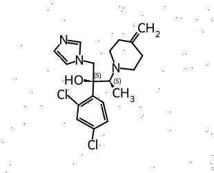 C=C1CCN([C@@H](C)[C@@](O)(Cn2ccnc2)c2ccc(Cl)cc2Cl)CC1